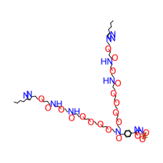 CCCCC1=CC(CCOCCC(=O)NCCOCCNC(=O)CCOCCOCCOCCOCCN(CCOCCOCCOCCOCCC(=O)NCCOCCNC(=O)CCOCCn2cc(CCCC)nn2)C(=O)c2ccc(-c3nnc(S(C)(=O)=O)o3)cc2)N=N1